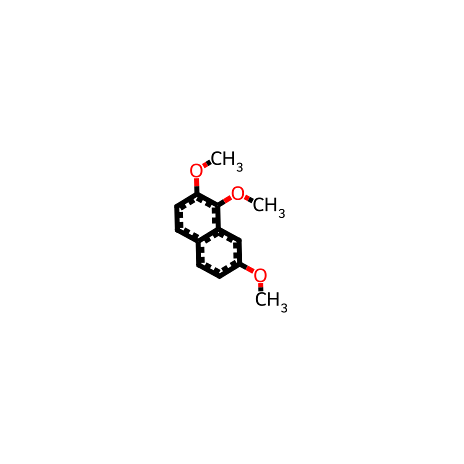 COc1ccc2ccc(OC)c(OC)c2c1